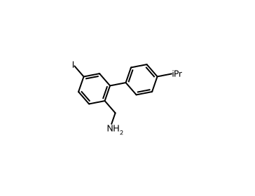 CC(C)c1ccc(-c2cc(I)ccc2CN)cc1